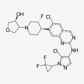 O[C@@H]1COCC1N1CC[C@H](c2cc3nc(Nc4cnn(C5CC5(F)F)c4Cl)ncc3cc2Cl)[C@@H](F)C1